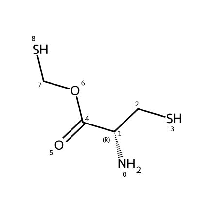 N[C@@H](CS)C(=O)OCS